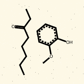 CCCCCC(=O)CC.COc1ccccc1O